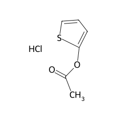 CC(=O)Oc1cccs1.Cl